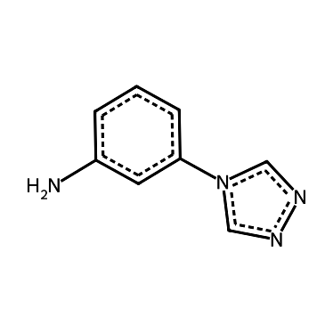 Nc1cccc(-n2cnnc2)c1